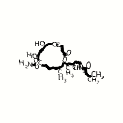 CC(C)=CC(=O)N/C=C\C(C)=C\C(C)C1C/C(C)=C/C=C/CCC(OC(N)=O)C(O)/C=C/C(O)CCC/C=C/C(=O)O1